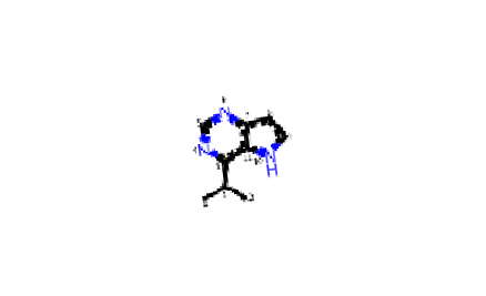 CC(C)c1ncnc2cc[nH]c12